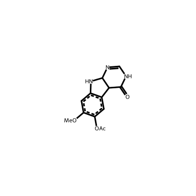 COc1cc2c(cc1OC(C)=O)C1C(=O)NC=NC1N2